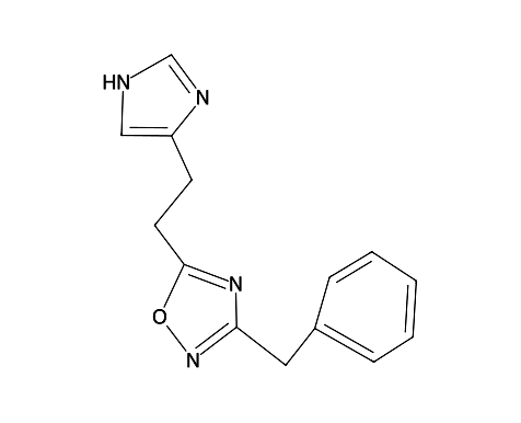 c1ccc(Cc2noc(CCc3c[nH]cn3)n2)cc1